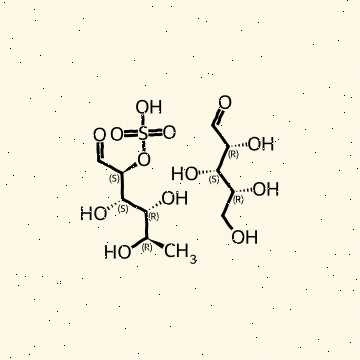 C[C@@H](O)[C@@H](O)[C@H](O)[C@@H](C=O)OS(=O)(=O)O.O=C[C@H](O)[C@@H](O)[C@H](O)CO